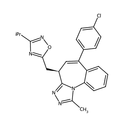 Cc1nnc2n1-c1ccccc1C(c1ccc(Cl)cc1)=C[C@@H]2Cc1nc(C(C)C)no1